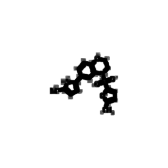 Cc1ccc(S(=O)(=O)N2CCOc3ccc(-c4ccc(C#N)[nH]4)cc32)o1